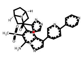 CS(=O)(=O)c1c([C@H]2C[C@H]3CC[C@@H](C2)N3C(=O)c2nnc[nH]2)nc2c(-c3ccc(-c4ccncc4)nc3)cnn2c1N